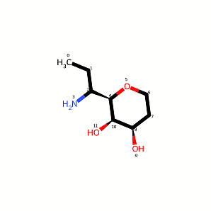 CCC(N)[C@H]1OCC[C@@H](O)[C@H]1O